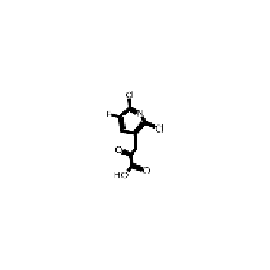 O=C(O)C(=O)Cc1cc(F)c(Cl)nc1Cl